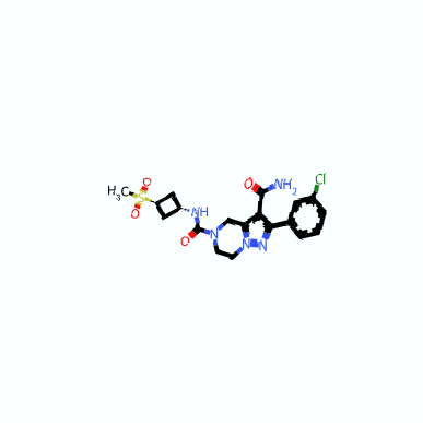 CS(=O)(=O)[C@H]1C[C@H](NC(=O)N2CCn3nc(-c4cccc(Cl)c4)c(C(N)=O)c3C2)C1